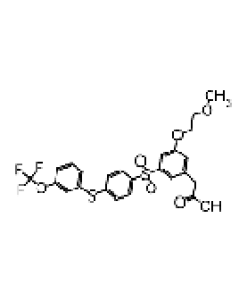 COCCOc1cc(CC(=O)O)cc(S(=O)(=O)c2ccc(Sc3cccc(OC(F)(F)F)c3)cc2)c1